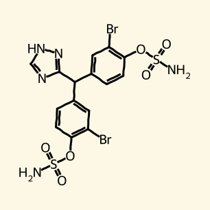 NS(=O)(=O)Oc1ccc(C(c2ccc(OS(N)(=O)=O)c(Br)c2)c2nc[nH]n2)cc1Br